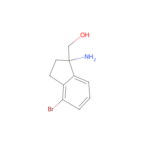 NC1(CO)CCc2c(Br)cccc21